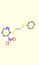 O=[N+]([O-])c1cccnc1SCCSc1ccccc1